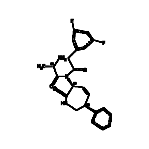 C[C@H](N)C(=O)N(C(=O)Cc1cc(F)cc(F)c1)[C@H]1C=C[C@@H](c2ccccc2)CNC1=O